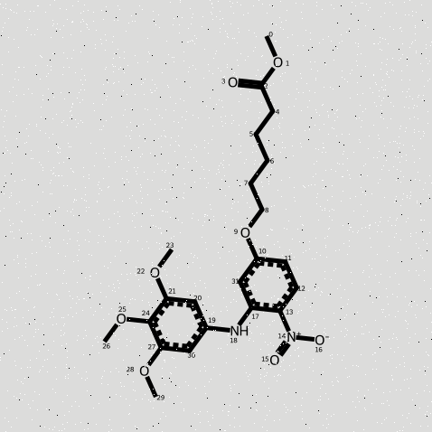 COC(=O)CCCCCOc1ccc([N+](=O)[O-])c(Nc2cc(OC)c(OC)c(OC)c2)c1